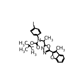 Cc1c(-c2nnc(C(C)N(C(=O)OC(C)(C)C)c3ccc(I)cc3)o2)oc2ccccc12